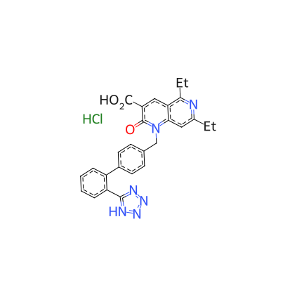 CCc1cc2c(cc(C(=O)O)c(=O)n2Cc2ccc(-c3ccccc3-c3nnn[nH]3)cc2)c(CC)n1.Cl